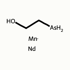 OCC[AsH2].[Mn].[Nd]